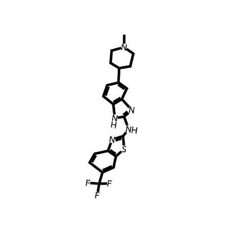 CN1CCC(c2ccc3[nH]c(Nc4nc5ccc(C(F)(F)F)cc5s4)nc3c2)CC1